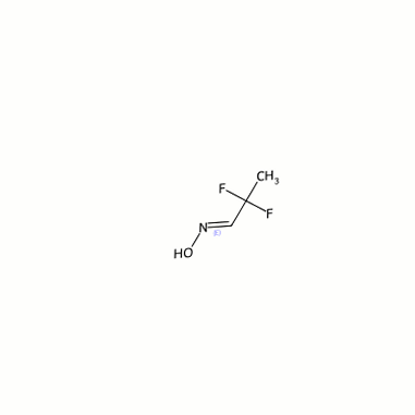 CC(F)(F)/C=N/O